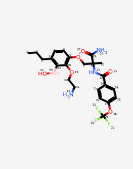 CCCc1ccc(OCC(C)(NC(=O)c2ccc(OC(F)(F)F)cc2)C(N)=O)c(OCCN)c1BO